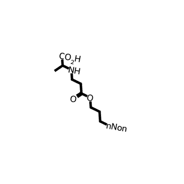 CCCCCCCCCCCCOC(=O)CCNC(C)C(=O)O